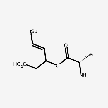 CC(C)[C@H](N)C(=O)OC(C=CC(C)(C)C)CC(=O)O